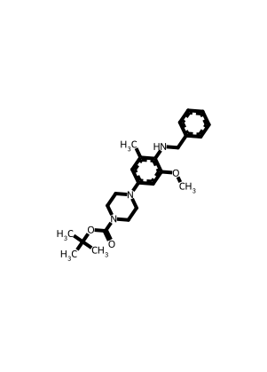 COc1cc(N2CCN(C(=O)OC(C)(C)C)CC2)cc(C)c1NCc1ccccc1